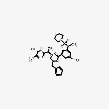 CCNC(=O)[C@@H](NC(=O)[C@H](C)NC[C@H](Cc1ccccc1)NC(=O)c1cc(C(=O)O)cc(N(C)S(=O)(=O)N2CCOCC2)c1)C(C)C